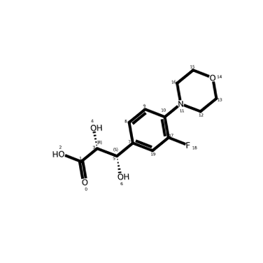 O=C(O)[C@H](O)[C@@H](O)c1ccc(N2CCOCC2)c(F)c1